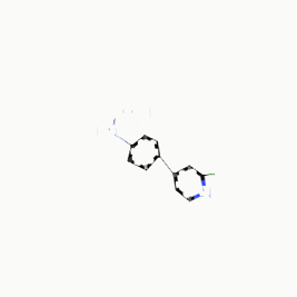 O=C(O)Nc1ccc(-c2ccnc(Cl)c2)cc1